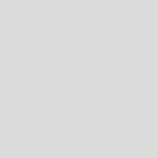 COC(=O)C(=CNc1ncnc2ccc(NC(=O)C3CCCCC3)cc12)C(=O)OC